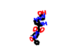 C[C@@H]1CN(C(=O)C(=O)c2c[nH]c3c(N4C=CN=C(O)C4)nccc23)CCN1C(=O)c1ccccc1